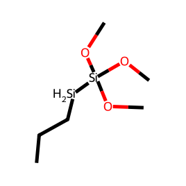 CCC[SiH2][Si](OC)(OC)OC